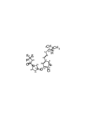 CN[C@@H](C)CC=Cc1cnc(Cl)c(O[C@@H]2CCN(C(=O)CC(F)(F)F)C2)c1